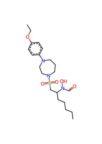 CCCCCC(CS(=O)(=O)N1CCCN(c2ccc(OCC)cc2)CC1)N(O)C=O